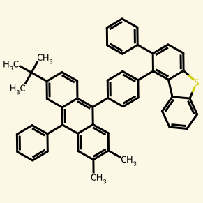 Cc1cc2c(-c3ccc(-c4c(-c5ccccc5)ccc5sc6ccccc6c45)cc3)c3ccc(C(C)(C)C)cc3c(-c3ccccc3)c2cc1C